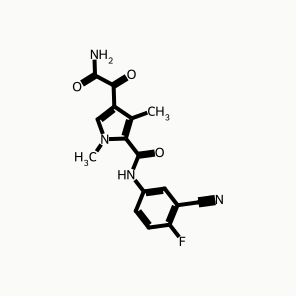 Cc1c(C(=O)C(N)=O)cn(C)c1C(=O)Nc1ccc(F)c(C#N)c1